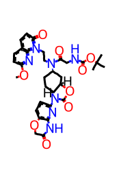 COc1ccc2ccc(=O)n(CCN(C(=O)CNC(=O)OC(C)(C)C)[C@H]3CC[C@H]4[C@H](C3)OC(=O)N4c3ccc4c(n3)NC(=O)CO4)c2n1